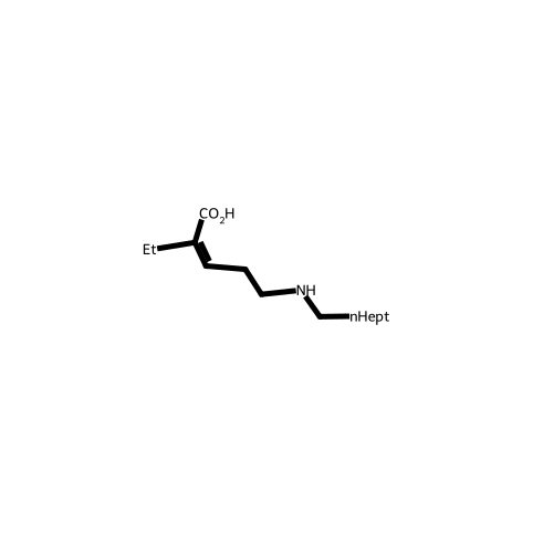 CCCCCCCCNCCC=C(CC)C(=O)O